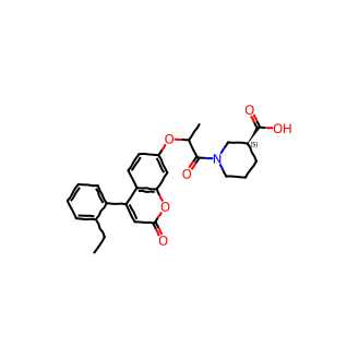 CCc1ccccc1-c1cc(=O)oc2cc(OC(C)C(=O)N3CCC[C@H](C(=O)O)C3)ccc12